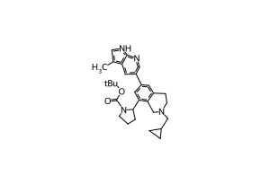 Cc1c[nH]c2ncc(-c3cc4c(c(C5CCCN5C(=O)OC(C)(C)C)c3)CN(CC3CC3)CC4)cc12